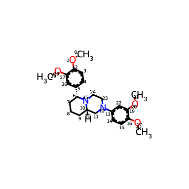 COc1ccc([C@H]2CCC[C@H]3CN(c4ccc(OC)c(OC)c4)CCN32)cc1OC